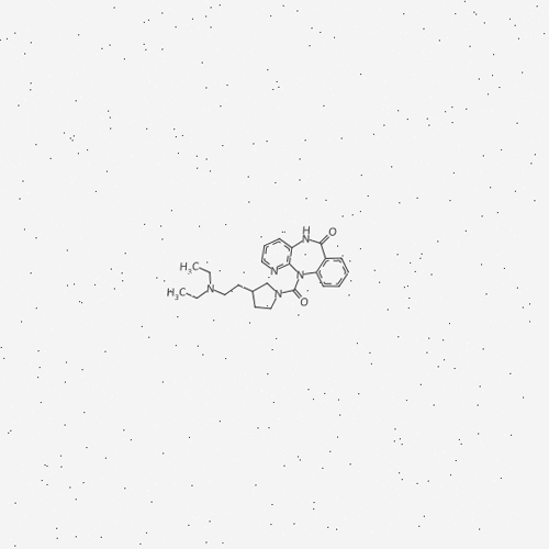 CCN(CC)CCC1CCN(C(=O)N2c3ccccc3C(=O)Nc3cccnc32)C1